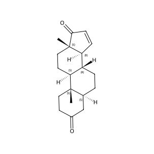 C[C@]12CCC(=O)C[C@@H]1CC[C@@H]1[C@@H]2CC[C@]2(C)C(=O)C=C[C@@H]12